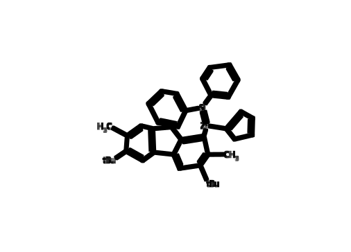 Cc1cc2c(cc1C(C)(C)C)-c1cc(C(C)(C)C)c(C)[c]([Zr]([C]3=CC=CC3)=[Si](c3ccccc3)c3ccccc3)c1C2